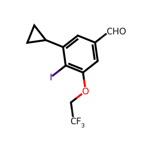 O=Cc1cc(OCC(F)(F)F)c(I)c(C2CC2)c1